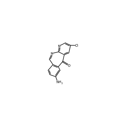 Nc1ccc2cnc3ncc(Cl)cc3c(=O)c2c1